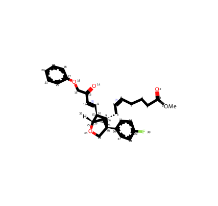 COC(=O)CCC/C=C\C[C@H]1[C@H](/C=C/C(=O)COc2ccccc2)[C@@H]2C[C@@]1(c1ccc(F)cc1)CO2